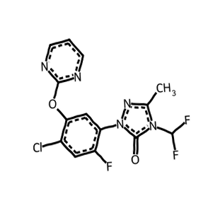 Cc1nn(-c2cc(Oc3ncccn3)c(Cl)cc2F)c(=O)n1C(F)F